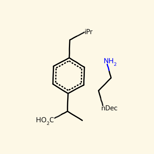 CC(C)Cc1ccc(C(C)C(=O)O)cc1.CCCCCCCCCCCCN